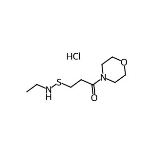 CCNSCCC(=O)N1CCOCC1.Cl